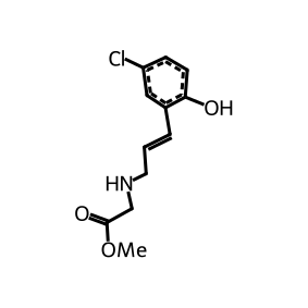 COC(=O)CNCC=Cc1cc(Cl)ccc1O